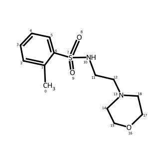 Cc1c[c]ccc1S(=O)(=O)NCCN1CCOCC1